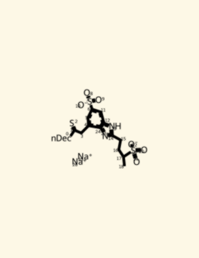 CCCCCCCCCCC(=S)Cc1cc(S(=O)(=O)[O-])cc2[nH]c(CCC(C)S(=O)(=O)[O-])nc12.[Na+].[Na+]